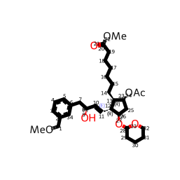 COCc1cccc(C[C@@H](O)/C=C/[C@@H]2[C@@H](CCCCCCC(=O)OC)[C@@H](OC(C)=O)C[C@H]2OC2CCCCO2)c1